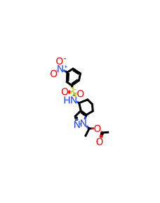 CC(=O)OC(C)n1ncc2c1CCCC2NS(=O)(=O)c1cccc([N+](=O)[O-])c1